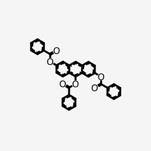 O=C(Oc1ccc2c(OC(=O)c3ccccc3)c3cc(OC(=O)c4ccccc4)ccc3cc2c1)c1ccccc1